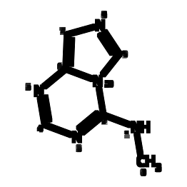 CNc1ncnc2cncn12